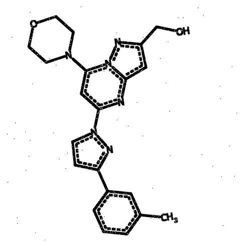 Cc1cccc(-c2ccn(-c3cc(N4CCOCC4)n4nc(CO)cc4n3)n2)c1